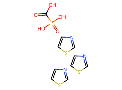 O=C(O)P(=O)(O)O.c1cscn1.c1cscn1.c1cscn1